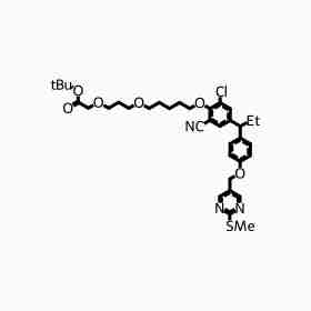 CCC(c1ccc(OCc2cnc(SC)nc2)cc1)c1cc(Cl)c(OCCCCCOCCCOCC(=O)OC(C)(C)C)c(C#N)c1